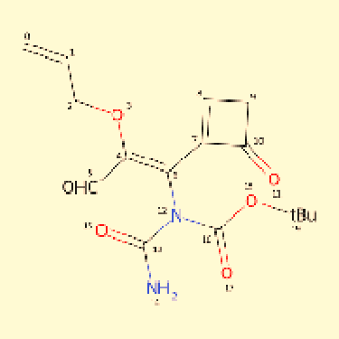 C=CCOC(C=O)=C(C1=CCC1=O)N(C(N)=O)C(=O)OC(C)(C)C